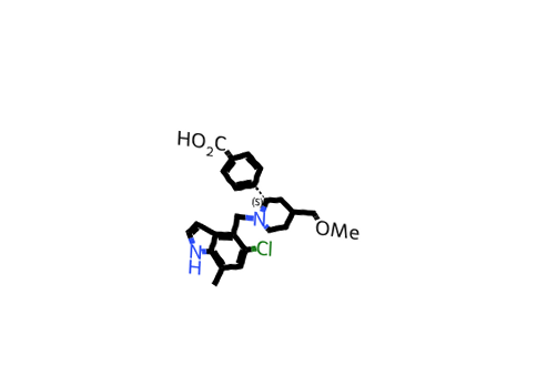 COCC1CCN(Cc2c(Cl)cc(C)c3[nH]ccc23)[C@H](c2ccc(C(=O)O)cc2)C1